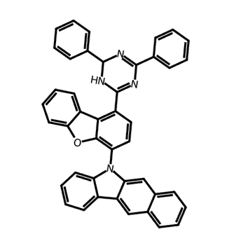 c1ccc(C2=NC(c3ccccc3)NC(c3ccc(-n4c5ccccc5c5cc6ccccc6cc54)c4oc5ccccc5c34)=N2)cc1